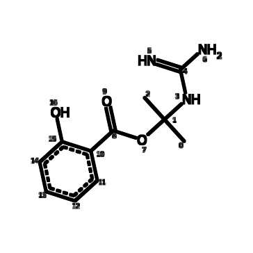 CC(C)(NC(=N)N)OC(=O)c1ccccc1O